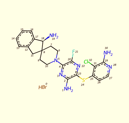 Br.Nc1nc(N2CCC3(CC2)Cc2ccccc2[C@H]3N)c(F)nc1Sc1ccnc(N)c1Cl